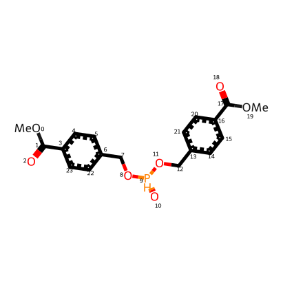 COC(=O)c1ccc(CO[PH](=O)OCc2ccc(C(=O)OC)cc2)cc1